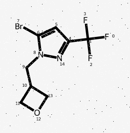 FC(F)(F)c1cc(Br)n(CC2COC2)n1